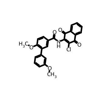 COc1cccc(-c2cc(C(=O)NC3=C(Cl)C(=O)c4ccccc4C3=O)ccc2OC)c1